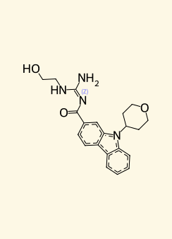 N/C(=N/C(=O)c1ccc2c3ccccc3n(C3CCOCC3)c2c1)NCCO